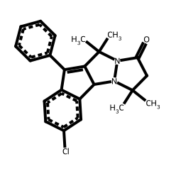 CC1(C)CC(=O)N2N1C1C(=C(c3ccccc3)c3ccc(Cl)cc31)C2(C)C